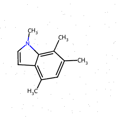 Cc1cc(C)c2ccn(C)c2c1C